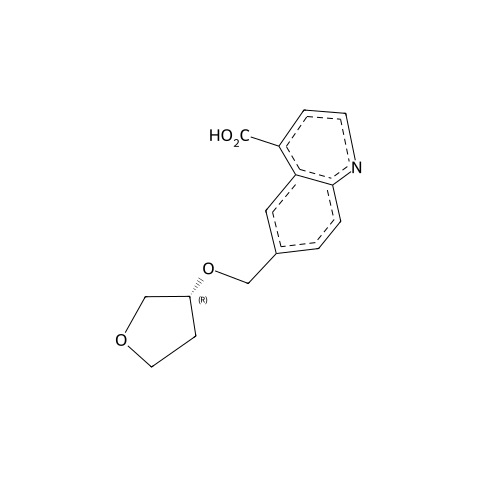 O=C(O)c1ccnc2ccc(CO[C@@H]3CCOC3)cc12